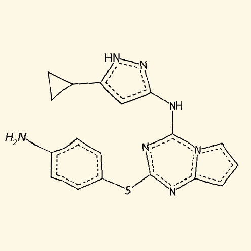 Nc1ccc(Sc2nc(Nc3cc(C4CC4)[nH]n3)n3cccc3n2)cc1